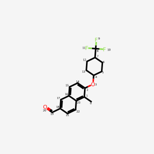 Cc1c(OC2CCC(C(F)(F)F)CC2)ccc2cc(C=O)ccc12